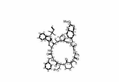 C=CC(C)(C)n1cc(C[C@@H]2NC(=O)[C@H](Cc3ccccc3)NC(=O)[C@H](CC(C)C)N3CCC[C@@H](C3=O)N(C)C(=O)[C@H](C)NC(=O)[C@H](Cc3ccc4nc(OC)ncc4c3)NC(=O)[C@H](CC(C)C)N(C)C2=O)c2ccccc21